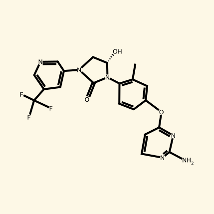 Cc1cc(Oc2ccnc(N)n2)ccc1N1C(=O)N(c2cncc(C(F)(F)F)c2)C[C@@H]1O